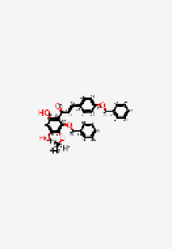 [2H]C([2H])([2H])Oc1c(O)cc(O)c(C(=O)/C=C/c2ccc(OCc3ccccc3)cc2)c1OCc1ccccc1